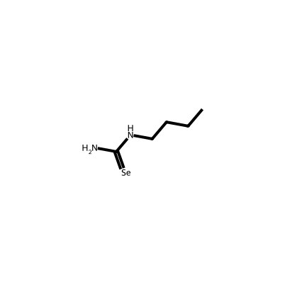 CCCCNC(N)=[Se]